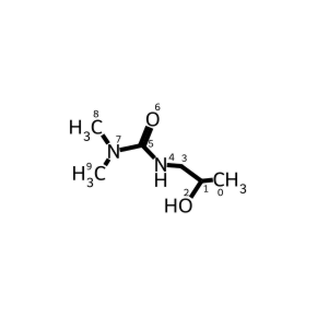 CC(O)CNC(=O)N(C)C